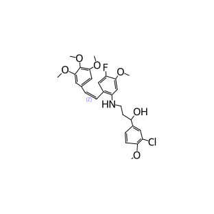 COc1cc(NCCC(O)c2ccc(OC)c(Cl)c2)c(/C=C\c2cc(OC)c(OC)c(OC)c2)cc1F